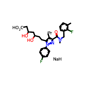 Cc1cccc(CN(C)C(=O)c2nn(-c3ccc(F)cc3)c(CCC(O)CC(O)CC(=O)O)c2C(C)C)c1F.[NaH]